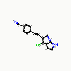 N#Cc1ccc(C#Cc2cnc3[nH]ccc3c2Cl)cc1